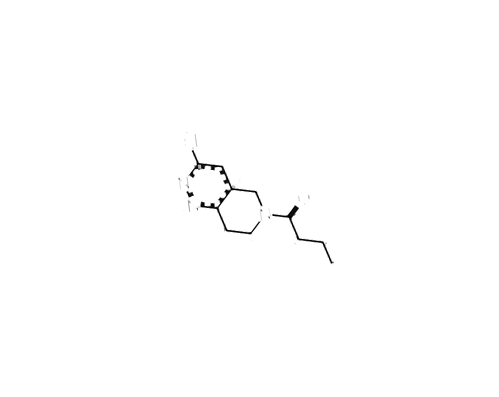 CCCC(=O)N1CCc2nnc(Cl)cc2C1